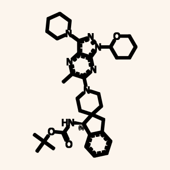 Cc1nc2c(N3CCCCC3)nn(C3CCCCO3)c2nc1N1CCC2(CC1)Cc1ccccc1[C@H]2NC(=O)OC(C)(C)C